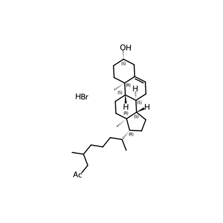 Br.CC(=O)CC(C)CCCC(C)[C@H]1CC[C@H]2[C@@H]3CC=C4C[C@@H](O)CC[C@]4(C)[C@H]3CC[C@]12C